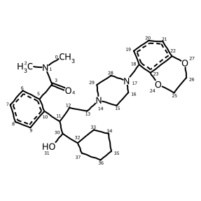 CN(C)C(=O)c1ccccc1C(CCN1CCN(c2cccc3c2OCCO3)CC1)C(O)C1CCCCC1